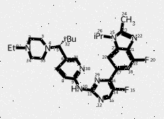 CCN1CCN([C@@H](c2ccc(Nc3ncc(F)c(-c4cc(F)c5nc(C)n(C(C)C)c5c4)n3)nc2)C(C)(C)C)CC1